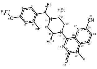 CCC(c1ccc(OC(F)(F)F)cc1F)N1C[C@H](CC)N(c2nc(=O)n(C)c3ccc(C#N)nc23)C[C@H]1CC